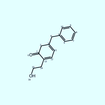 O=C1CC(Cc2ccccc2)=CC=C1CCO